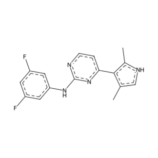 Cc1c[nH]c(C)c1-c1ccnc(Nc2cc(F)cc(F)c2)n1